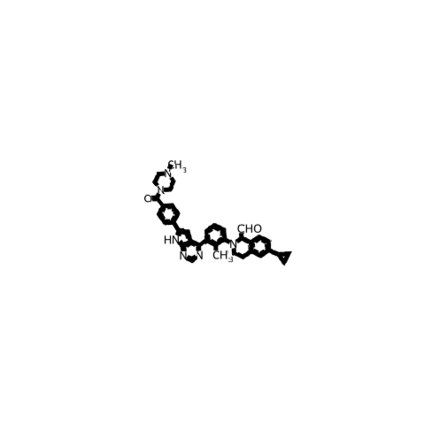 Cc1c(-c2ncnc3[nH]c(-c4ccc(C(=O)N5CCN(C)CC5)cc4)cc23)cccc1N1CCc2cc(C3CC3)ccc2C1C=O